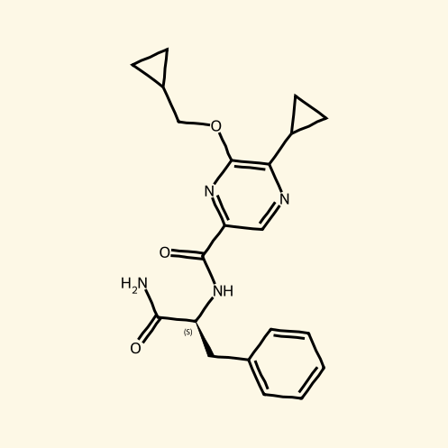 NC(=O)[C@H](Cc1ccccc1)NC(=O)c1cnc(C2CC2)c(OCC2CC2)n1